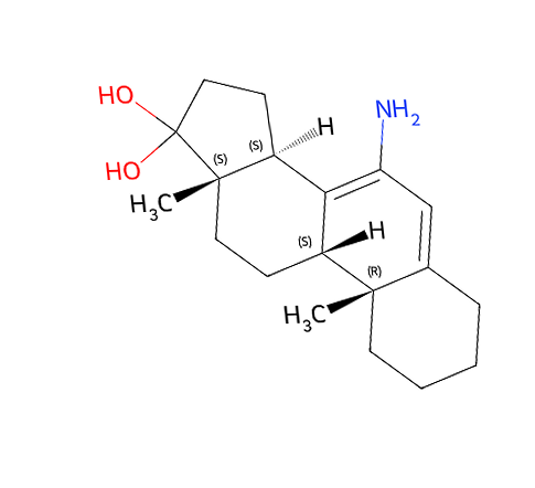 C[C@]12CCCCC1=CC(N)=C1[C@H]2CC[C@@]2(C)[C@H]1CCC2(O)O